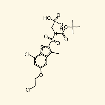 Cc1c(S(=O)(=O)N(CP(=O)(O)O)C(=O)OC(C)(C)C)sc2c(Cl)cc(OCCCl)cc12